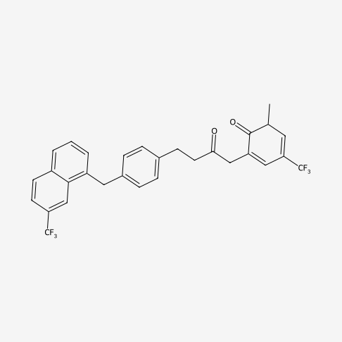 CC1C=C(C(F)(F)F)C=C(CC(=O)CCc2ccc(Cc3cccc4ccc(C(F)(F)F)cc34)cc2)C1=O